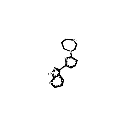 c1cc(-c2n[nH]c3ncccc23)nc(N2CCCNCC2)c1